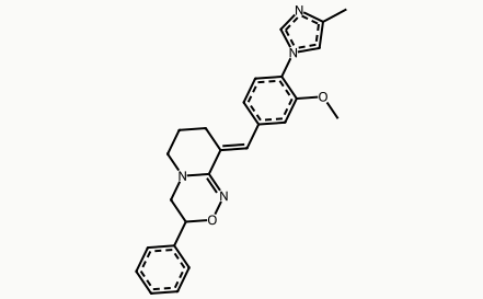 COc1cc(/C=C2\CCCN3CC(c4ccccc4)ON=C23)ccc1-n1cnc(C)c1